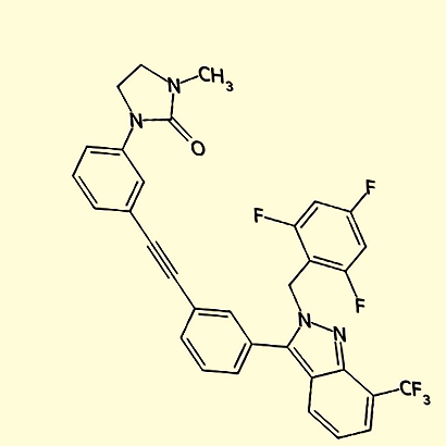 CN1CCN(c2cccc(C#Cc3cccc(-c4c5cccc(C(F)(F)F)c5nn4Cc4c(F)cc(F)cc4F)c3)c2)C1=O